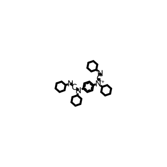 C(=NC1CCCCC1)=[N+](c1ccc([N+](=C=NC2CCCCC2)C2CCCCC2)cc1)C1CCCCC1